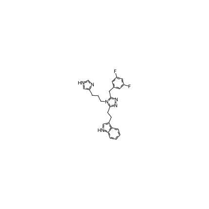 Fc1cc(F)cc(Cc2nnc(CCc3c[nH]c4ccccc34)n2CCCc2c[nH]cn2)c1